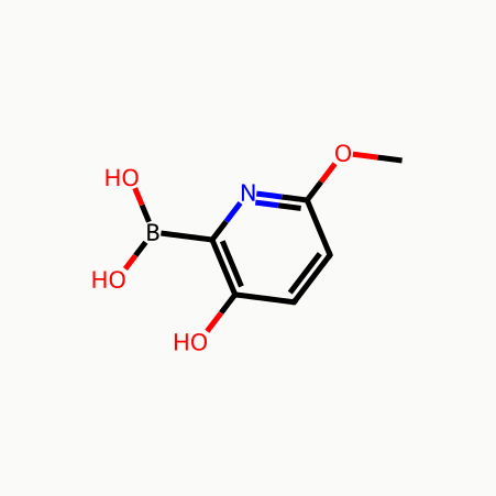 COc1ccc(O)c(B(O)O)n1